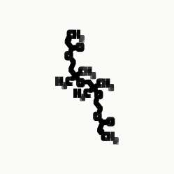 C=CC(=O)OCCOC(C)(C)COC(C)(C)CCOC(=O)C=C